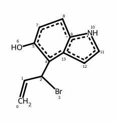 C=CC(Br)c1c(O)ccc2[nH]ccc12